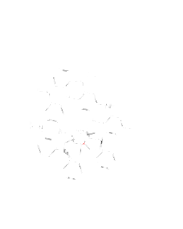 CSN1c2cc3c(cc2B2c4cc5c(cc4N(SC)c4cc(C)cc1c42)N(SC)c1cc(C)cc2c1B5c1sc4ccccc4c1N2c1ccccc1)B1c2sc4ccccc4c2N(c2ccccc2)c2cc(C)cc(c21)N3